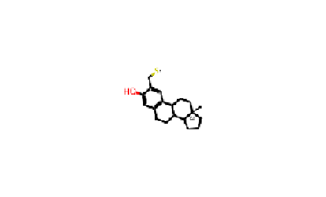 C[C@@]12CCCC1C1CCc3cc(O)c(C[S])cc3C1CC2